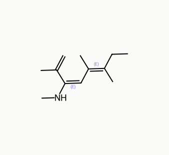 C=C(C)/C(=C\C(C)=C(/C)CC)NC